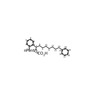 CCCCCc1ccccc1C(CCCCCCCc1ccccc1)OC(=O)O